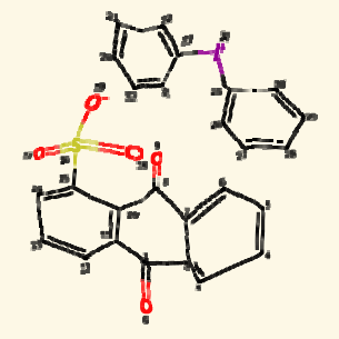 O=C1c2ccccc2C(=O)c2c1cccc2S(=O)(=O)[O-].c1ccc([I+]c2ccccc2)cc1